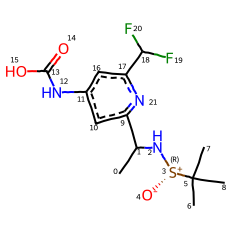 CC(N[S@@+]([O-])C(C)(C)C)c1cc(NC(=O)O)cc(C(F)F)n1